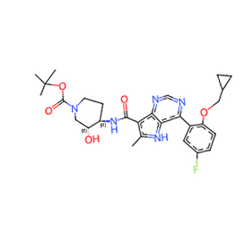 Cc1[nH]c2c(-c3cc(F)ccc3OCC3CC3)ncnc2c1C(=O)N[C@@H]1CCN(C(=O)OC(C)(C)C)C[C@H]1O